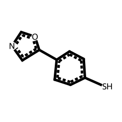 Sc1ccc(-c2cnco2)cc1